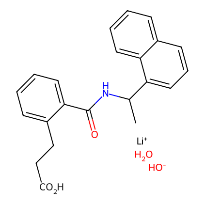 CC(NC(=O)c1ccccc1CCC(=O)O)c1cccc2ccccc12.O.[Li+].[OH-]